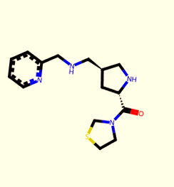 O=C([C@@H]1C[C@@H](CNCc2ccccn2)CN1)N1CCSC1